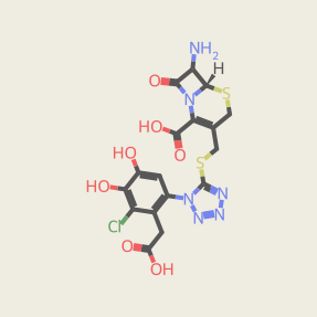 NC1C(=O)N2C(C(=O)O)=C(CSc3nnnn3-c3cc(O)c(O)c(Cl)c3CC(=O)O)CS[C@@H]12